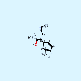 CC/C=C\C[C@@H](C(=O)OC)C1C=CC=C(C(F)(F)F)C1